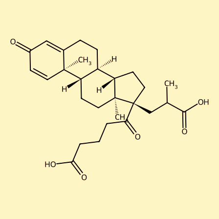 CC(C[C@]1(C(=O)CCCC(=O)O)CC[C@H]2[C@@H]3CCC4=CC(=O)C=C[C@]4(C)[C@H]3CC[C@@]21C)C(=O)O